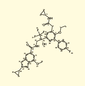 CCOc1c(CC(=O)NC2CC2)cc([C@@](O)(CNC(=O)c2cc(OC)c3nn(C4CC4)cc3c2)C(F)(F)F)nc1-c1ccc(F)cc1